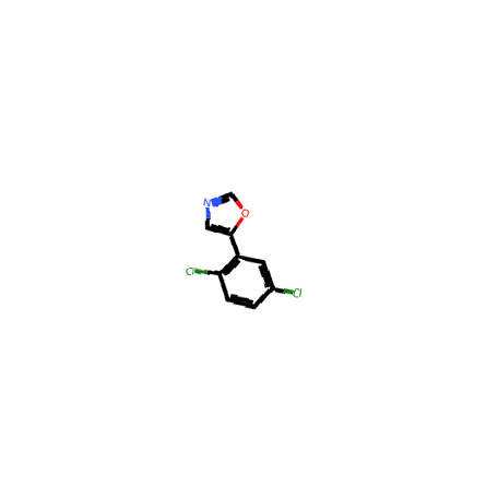 Clc1ccc(Cl)c(-c2cnco2)c1